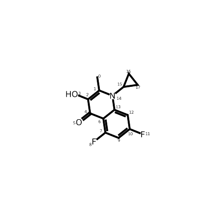 Cc1c(O)c(=O)c2c(F)cc(F)cc2n1C1CC1